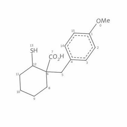 COc1ccc(CC2(C(=O)O)CCCCC2S)cc1